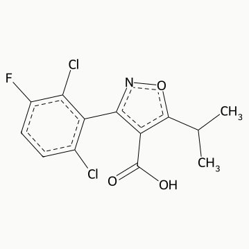 CC(C)c1onc(-c2c(Cl)ccc(F)c2Cl)c1C(=O)O